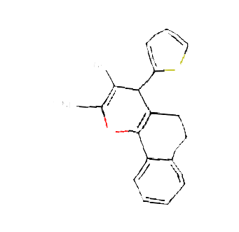 CC(=O)NC1=C(C#N)C(c2cccs2)C2=C(O1)c1ccccc1CC2